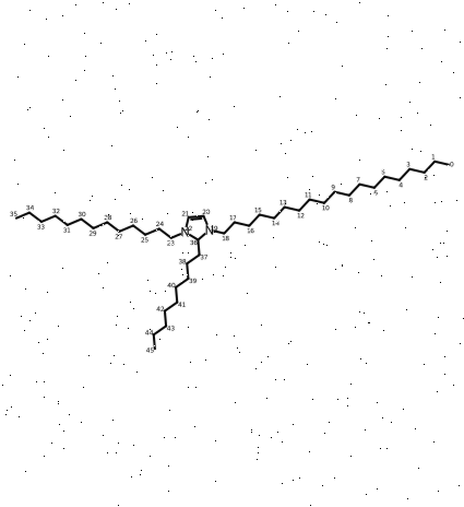 CCCCCCCCCCCCCCCCCCCN1C=CN(CCCCCCCCCCCCC)C1CCCCCCCCC